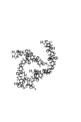 CNC(=O)c1ccc(C(=O)Nc2ccc(Oc3ccc(NC(=O)c4cc(C(=O)Nc5ccc(C)cc5)ccc4C(=O)NC(C)CCCC(C)NC)cc3)cc2)cc1C(=O)NCCCCC(CCCC(C)NC)NC(=O)c1ccc(C(=N)Nc2ccc(Oc3ccc(N4C(=O)c5ccc(C(=O)Nc6ccc(C)cc6)cc5C4=O)cc3)cc2)cc1C(=O)NC